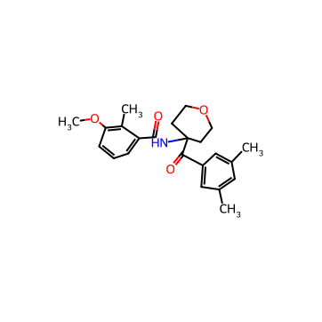 COc1cccc(C(=O)NC2(C(=O)c3cc(C)cc(C)c3)CCOCC2)c1C